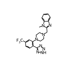 Cn1c(CN2CCN(c3cc(C(F)(F)F)ccc3-c3nn[nH]n3)CC2)nc2ccccc21